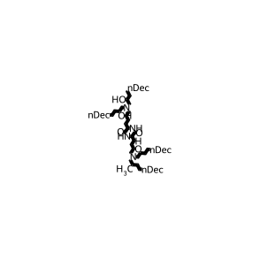 CCCCCCCCCCCCC(C)CN(CCCCC1NC(=O)C(CCCCN(CC(O)CCCCCCCCCCCC)CC(O)CCCCCCCCCCCC)NC1=O)CC(O)CCCCCCCCCCCC